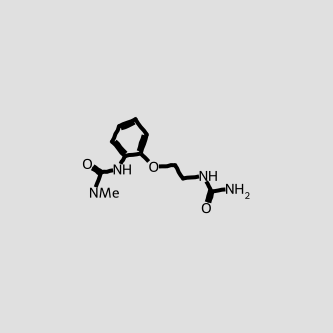 CNC(=O)Nc1ccccc1OCCNC(N)=O